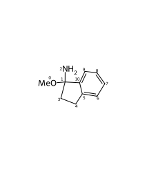 COC1(N)CCc2ccccc21